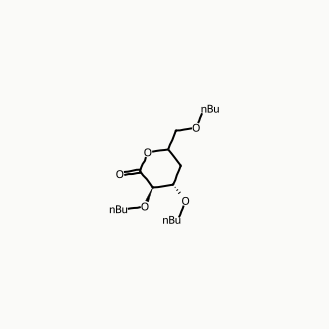 CCCCOCC1C[C@H](OCCCC)[C@@H](OCCCC)C(=O)O1